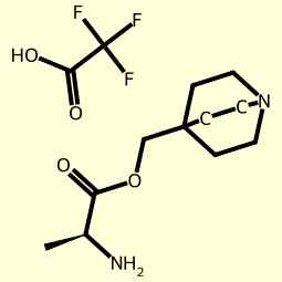 C[C@H](N)C(=O)OCC12CCN(CC1)CC2.O=C(O)C(F)(F)F